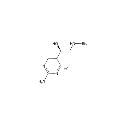 CC(C)(C)NC[C@H](O)c1cnc(N)nc1.Cl